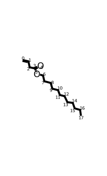 C=CCC(=O)OCCCCCCCCCCCC